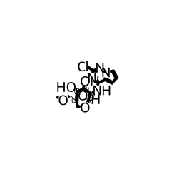 COC[C@@]12CO[C@@H](O1)[C@H](Nc1nc(Cl)nn3cccc13)[C@@H](O)[C@H]2O